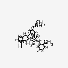 CNCc1cc(-c2ccc3[nH]ccc3c2)n(S(=O)(=O)/C(C)=C/c2ccccc2C)c1